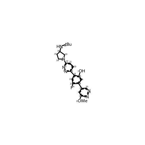 COc1cc(-c2cc(O)c(-c3ccc(N4CCC(NC(C)(C)C)C4)nn3)cc2F)cnn1